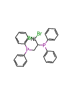 [Br][Ni]([Br])[CH](CP(c1ccccc1)c1ccccc1)P(c1ccccc1)c1ccccc1